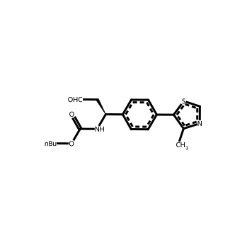 CCCCOC(=O)N[C@@H](CC=O)c1ccc(-c2scnc2C)cc1